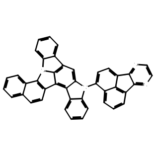 c1ccc2c(c1)ccc1c3c4c5ccccc5n(-c5ccc6c7c(cccc57)-c5nccnc5-6)c4cc4c5ccccc5n(c21)c43